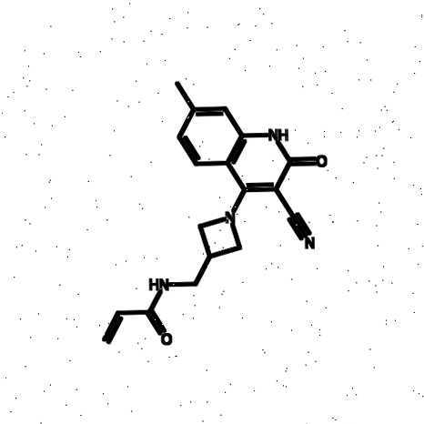 C=CC(=O)NCC1CN(c2c(C#N)c(=O)[nH]c3cc(C)ccc23)C1